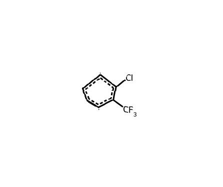 FC(F)(F)c1[c]cc[c]c1Cl